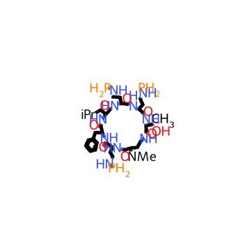 CNC1CCNC(=O)C(C(C)O)NC(=O)C(CCNP)NC(=O)C(CCNP)NC(=O)C(CC(C)C)NC(=O)C(Cc2ccccc2)NC(=O)C(CCNP)NC1=O